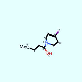 COCCC(O)N1CC=C(I)CC1